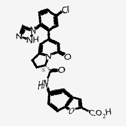 O=C(O)c1cc2cc(NC(=O)[C@@H]3CCc4cc(-c5cc(Cl)ccc5-n5cn[nH]5)cc(=O)n43)ccc2o1